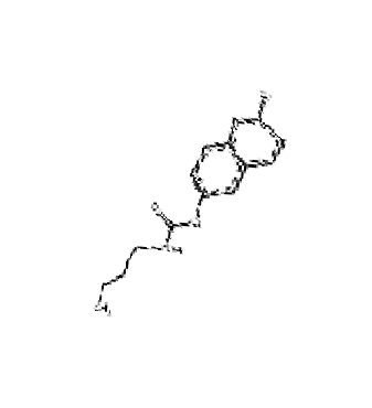 CCCCNC(=O)Oc1ccc2cc(Br)ccc2c1